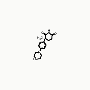 C[C@@]1(c2ccc(N3CCNCC3)cc2)CCC(=O)NC1=O